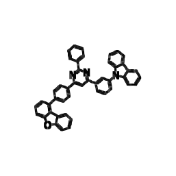 c1ccc(-c2nc(-c3ccc(-c4cccc5oc6ccccc6c45)cc3)cc(-c3cccc(-n4c5ccccc5c5ccccc54)c3)n2)cc1